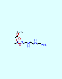 CC(=O)[O-].CC(=O)[O-].NCCNCCNCCN.[Zn+2]